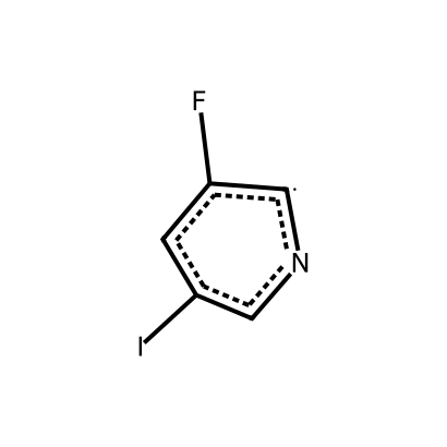 Fc1[c]ncc(I)c1